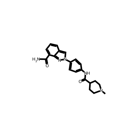 CN1CCC(C(=O)Nc2ccc(-n3cc4cccc(C(N)=O)c4n3)cc2)CC1